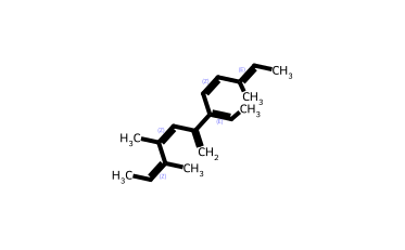 C=C(/C=C(C)\C(C)=C/C)C(/C=C\C(C)=C\C)=C/C